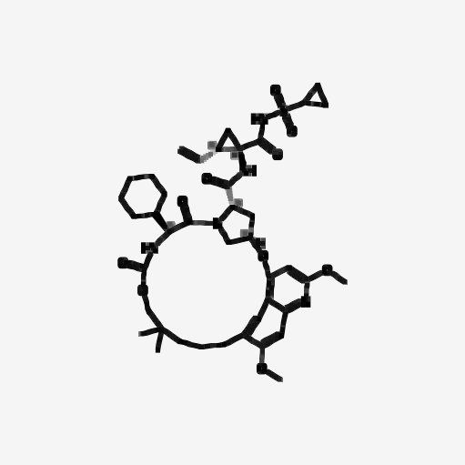 C=C[C@@H]1C[C@]1(NC(=O)[C@@H]1C[C@@H]2CN1C(=O)[C@H](C1CCCCC1)NC(=O)OCC(C)(C)CCCc1cc3c(cc(OC)nc3cc1OC)O2)C(=O)NS(=O)(=O)C1CC1